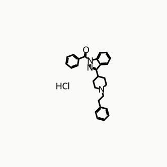 Cl.O=C(c1ccccc1)n1nc(C2CCN(CCc3ccccc3)CC2)c2ccccc21